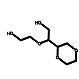 OCCOC(CO)C1COCCO1